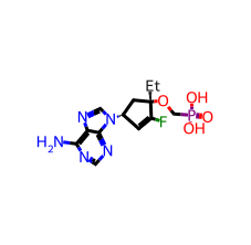 CC[C@]1(OCP(=O)(O)O)C[C@@H](n2cnc3c(N)ncnc32)C=C1F